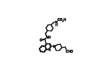 O=CCC1CCN(c2cc(C(=O)NCC3CCC(CNC(=O)O)CC3)c3ccccc3n2)CC1